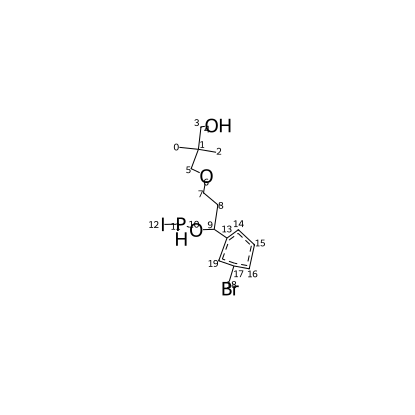 CC(C)(CO)COCCC(OPI)c1cccc(Br)c1